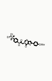 CCN(CC)S(=O)(=O)c1ccc(NC(=O)Cn2cnc3cc(-c4ccc(OC)cc4)sc3c2=O)cc1